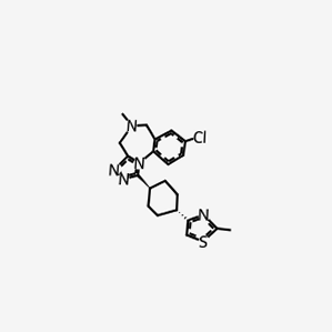 Cc1nc([C@H]2CC[C@H](c3nnc4n3-c3ccc(Cl)cc3CN(C)C4)CC2)cs1